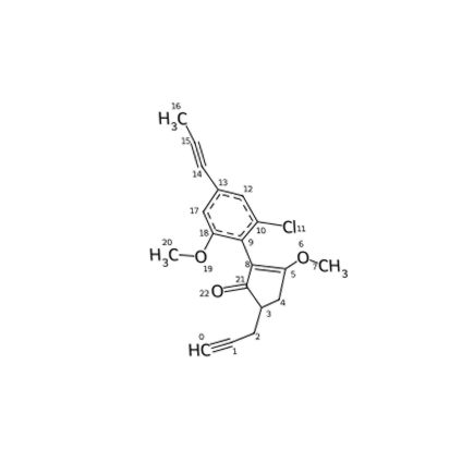 C#CCC1CC(OC)=C(c2c(Cl)cc(C#CC)cc2OC)C1=O